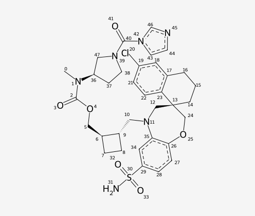 CN(C(=O)OC[C@@H]1CC[C@H]1CN1C[C@@]2(CCCc3cc(Cl)ccc32)COc2ccc(S(N)(=O)=O)cc21)[C@@H]1CCN(C(=O)n2ccnc2)C1